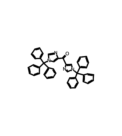 O=C(c1cn(C(c2ccccc2)(c2ccccc2)c2ccccc2)cn1)c1cn(C(c2ccccc2)(c2ccccc2)c2ccccc2)cn1